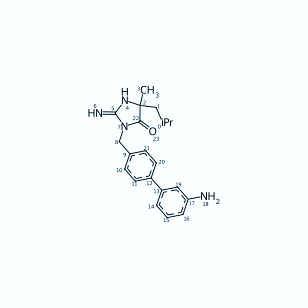 CC(C)CC1(C)NC(=N)N(Cc2ccc(-c3cccc(N)c3)cc2)C1=O